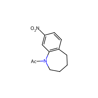 CC(=O)N1CCCCc2ccc([N+](=O)[O-])cc21